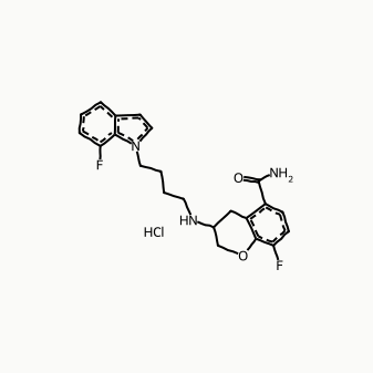 Cl.NC(=O)c1ccc(F)c2c1CC(NCCCCn1ccc3cccc(F)c31)CO2